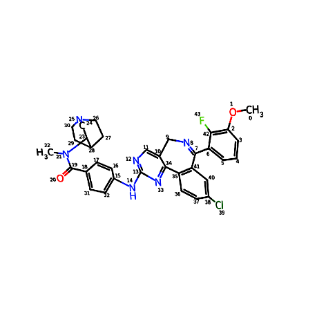 COc1cccc(C2=NCc3cnc(Nc4ccc(C(=O)N(C)C5CN6CCC5CC6)cc4)nc3-c3ccc(Cl)cc32)c1F